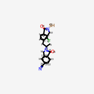 CC(Cc1ccc2c(c1F)CN(S)C2=O)N1Cc2cc(C#N)ccc2C1=O